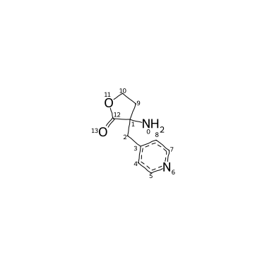 NC1(Cc2ccncc2)CCOC1=O